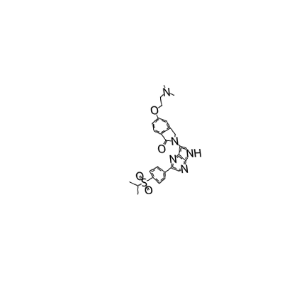 CC(C)S(=O)(=O)c1ccc(-c2cnc3[nH]cc(N4Cc5cc(OCCN(C)C)ccc5C4=O)c3n2)cc1